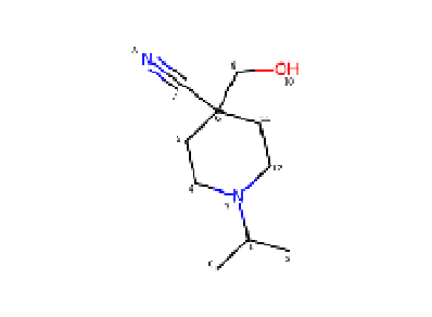 CC(C)N1CCC(C#N)(CO)CC1